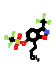 CCCc1c(OS(=O)(=O)C(F)(F)F)ccc2c(C(F)(F)F)noc12